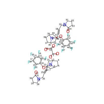 O=C(OC12CCC(CC(Oc3c(F)c(F)c(F)c(F)c3F)C1)N2CC#CCN1CCCC1=O)C(=O)OC12CCC(CC(Oc3c(F)c(F)c(F)c(F)c3F)C1)N2CC#CCN1CCCC1=O